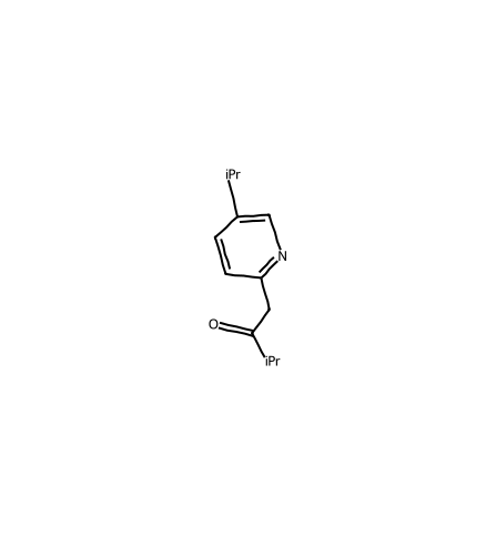 CC(C)C(=O)Cc1ccc(C(C)C)cn1